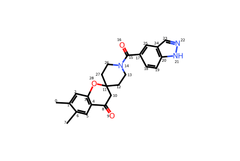 Cc1cc2c(cc1C)C(=O)CC1(CCN(C(=O)c3ccc4[nH]ncc4c3)CC1)O2